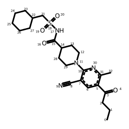 CCCC(=O)c1cc(C#N)c(N2CCC(C(=O)NS(=O)(=O)CC3CCCCC3)CC2)nc1C